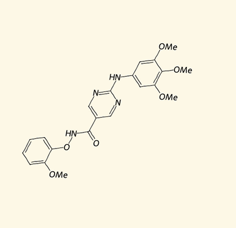 COc1ccccc1ONC(=O)c1cnc(Nc2cc(OC)c(OC)c(OC)c2)nc1